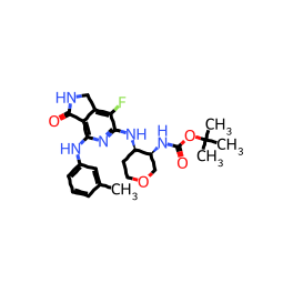 Cc1cccc(Nc2nc(N[C@@H]3CCOC[C@@H]3NC(=O)OC(C)(C)C)c(F)c3c2C(=O)NC3)c1